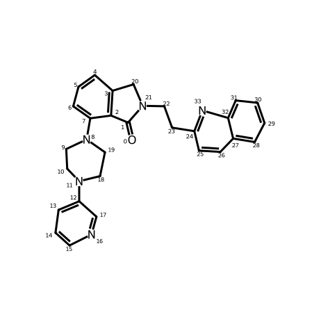 O=C1c2c(cccc2N2CCN(c3cccnc3)CC2)CN1CCc1ccc2ccccc2n1